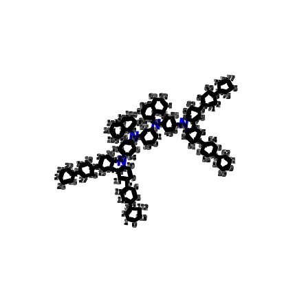 c1ccc(-c2ccc(-c3ccc4c(c3)c3cc(-c5ccc(-c6ccccc6)cc5)ccc3n4-c3ccc(N(c4cccc(N(c5ccc(-n6c7ccc(-c8ccc(-c9ccccc9)cc8)cc7c7cc(-c8ccc(-c9ccccc9)cc8)ccc76)cc5)c5cccc6ccccc56)c4)c4cccc5ccccc45)cc3)cc2)cc1